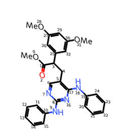 COC(=O)C(Cc1cnc(Nc2ccccc2)nc1Nc1ccccc1)c1cc(OC)cc(OC)c1